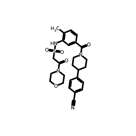 Cc1ccc(C(=O)N2CCC(c3ccc(C#N)cc3)CC2)cc1NS(=O)(=O)CC(=O)N1CCOCC1